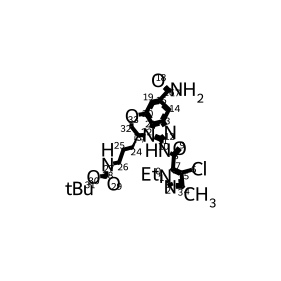 CCn1nc(C)c(Cl)c1C(=O)Nc1nc2cc(C(N)=O)cc3c2n1[C@@H](CCCNC(=O)OC(C)(C)C)CO3